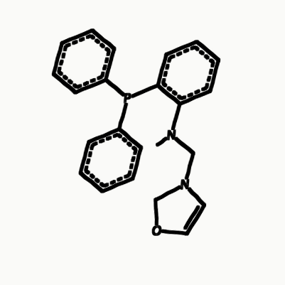 CN(CN1C=COC1)c1ccccc1P(c1ccccc1)c1ccccc1